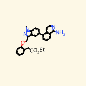 CCOC(=O)Cc1ccccc1OCc1nn(C)c2ccc(-c3cccc4c(N)nccc34)cc12